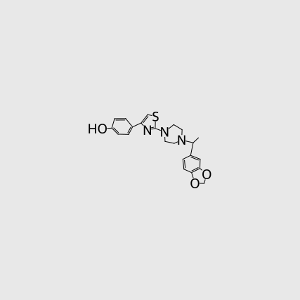 CC(c1ccc2c(c1)OCO2)N1CCN(c2nc(-c3ccc(O)cc3)cs2)CC1